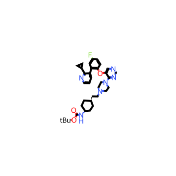 CC(C)(C)OC(=O)N[C@H]1CC[C@H](CCN2CCN(c3ncncc3Oc3ccc(F)cc3-c3cccnc3C3CC3)CC2)CC1